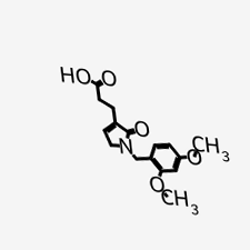 COc1ccc(CN2CC=C(CCC(=O)O)C2=O)c(OC)c1